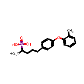 Cc1ccccc1Oc1ccc(CCCC(P(=O)(O)O)S(=O)(=O)O)cc1